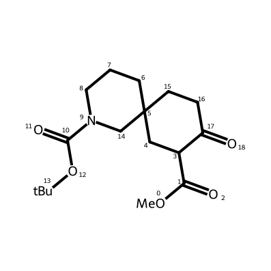 COC(=O)C1CC2(CCCN(C(=O)OC(C)(C)C)C2)CCC1=O